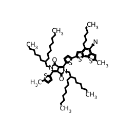 CCCCCCCCC(CCCCCC)CN1C(=O)C2=C(c3ccc(-c4cc5c(CCCCCC)c(C#N)c6cc(C)sc6c5s4)s3)N(CC(CCCCCC)CCCCCCCC)C(=O)C2=C1c1ccc(C)s1